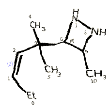 CC/C=C\C(C)(C)[C@H]1NNC1C